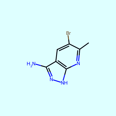 Cc1nc2[nH]nc(N)c2cc1Br